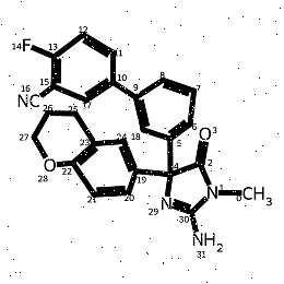 CN1C(=O)C(c2cccc(-c3ccc(F)c(C#N)c3)c2)(c2ccc3c(c2)CCCO3)N=C1N